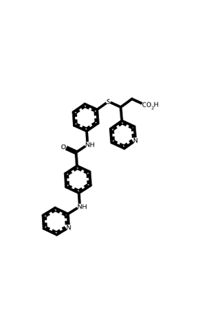 O=C(O)CC(Sc1cccc(NC(=O)c2ccc(Nc3ccccn3)cc2)c1)c1cccnc1